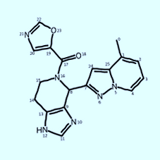 Cc1cccn2nc(C3c4nc[nH]c4CCN3C(=O)c3cnco3)cc12